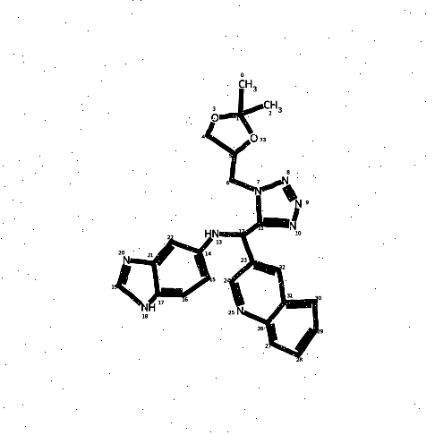 CC1(C)OCC(Cn2nnnc2C(Nc2ccc3[nH]cnc3c2)c2cnc3ccccc3c2)O1